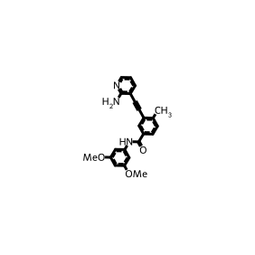 COc1cc(NC(=O)c2ccc(C)c(C#Cc3cccnc3N)c2)cc(OC)c1